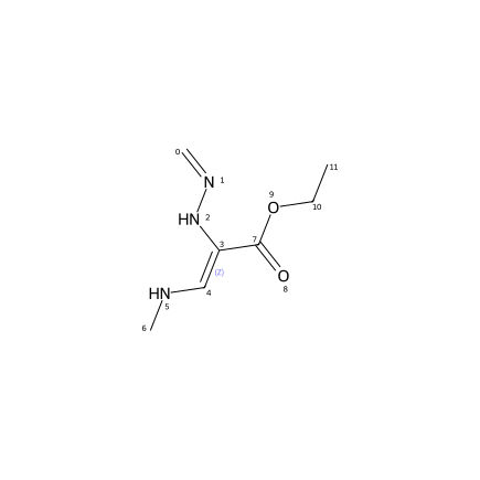 C=NN/C(=C\NC)C(=O)OCC